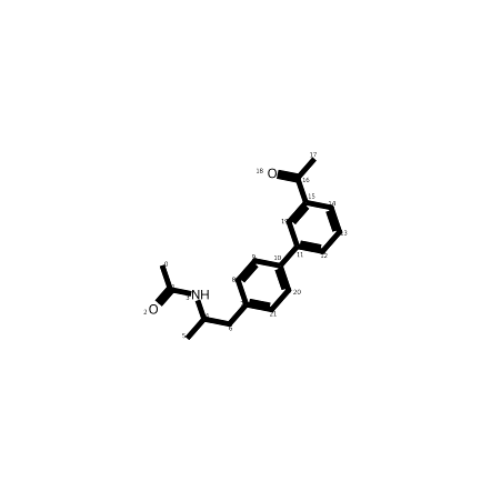 CC(=O)NC(C)Cc1ccc(-c2cccc(C(C)=O)c2)cc1